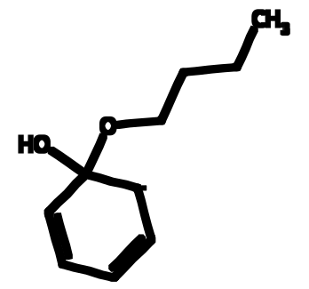 CCCCOC1(O)[CH]C=CC=C1